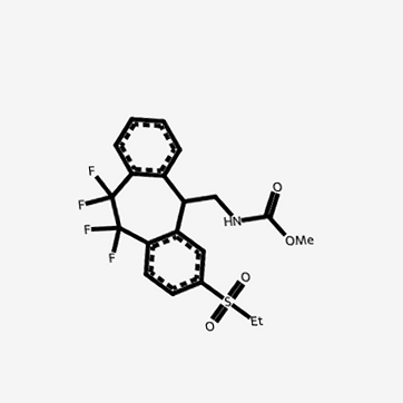 CCS(=O)(=O)c1ccc2c(c1)C(CNC(=O)OC)c1ccccc1C(F)(F)C2(F)F